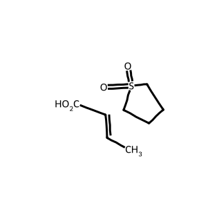 CC=CC(=O)O.O=S1(=O)CCCC1